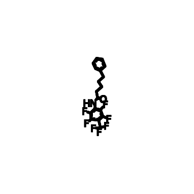 O=C(CCCCc1ccccc1)Nc1c(F)c(F)c(C(F)(F)F)c(F)c1F